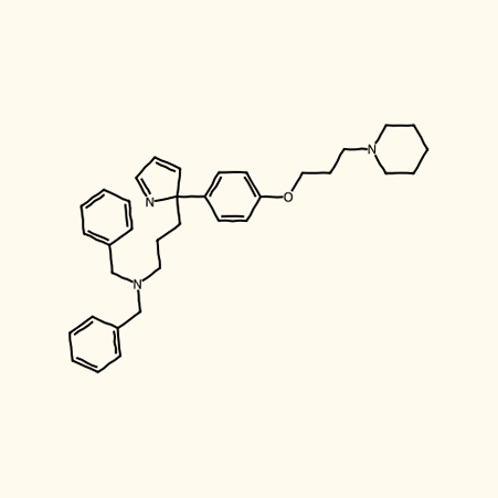 C1=CC(CCCN(Cc2ccccc2)Cc2ccccc2)(c2ccc(OCCCN3CCCCC3)cc2)N=C1